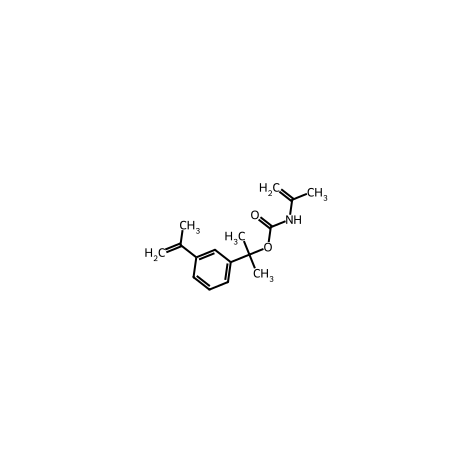 C=C(C)NC(=O)OC(C)(C)c1cccc(C(=C)C)c1